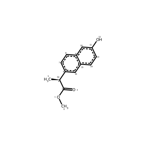 COC(=O)[C@@H](C)c1ccc2cc(O)ccc2c1